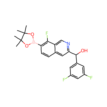 CC1(C)OB(c2ccc3cc(C(O)c4cc(F)cc(F)c4)ncc3c2F)OC1(C)C